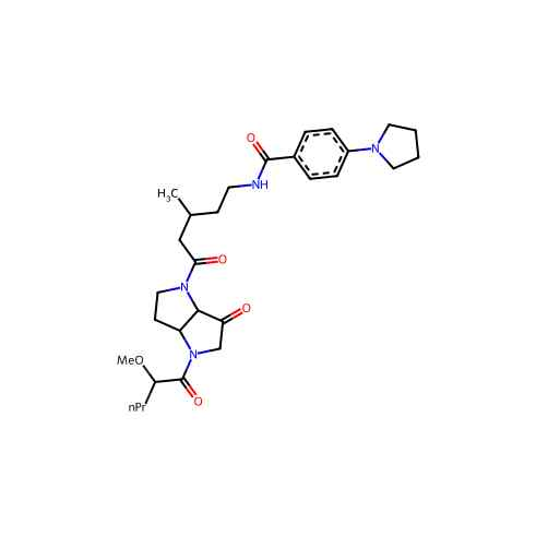 CCCC(OC)C(=O)N1CC(=O)C2C1CCN2C(=O)CC(C)CCNC(=O)c1ccc(N2CCCC2)cc1